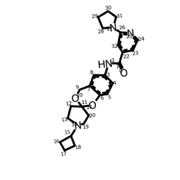 O=C(Nc1ccc2c(c1)COC1(CCN(C3CCC3)CC1)O2)c1ccnc(N2CCCC2)c1